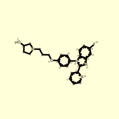 OC1CCN(CCCOc2ccc(-n3c(-c4ccccn4)nc4cc(F)ccc43)cc2)C1